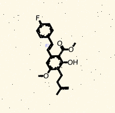 C=C(C)CCc1c(OC)cc(/C=C/c2ccc(F)cc2)c(C(=O)OC)c1O